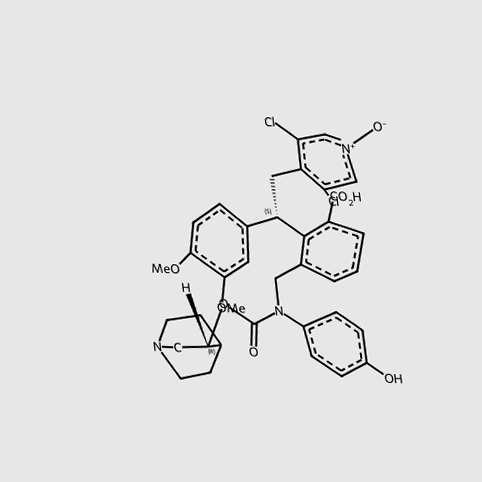 COc1ccc([C@H](Cc2c(Cl)c[n+]([O-])cc2Cl)c2c(CN(C(=O)O[C@H]3CN4CCC3CC4)c3ccc(O)cc3)cccc2C(=O)O)cc1OC